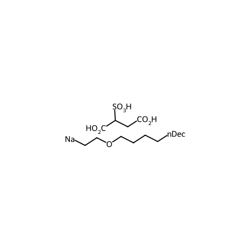 CCCCCCCCCCCCCCOC[CH2][Na].O=C(O)CC(C(=O)O)S(=O)(=O)O